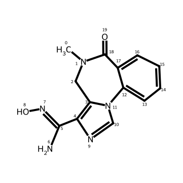 CN1Cc2c(C(N)=NO)ncn2-c2ccccc2C1=O